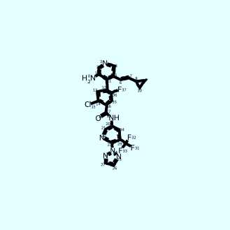 Nc1cncc(C=CC2CC2)c1-c1cc(Cl)c(C(=O)Nc2cnc(-n3nccn3)c(C(F)(F)F)c2)cc1F